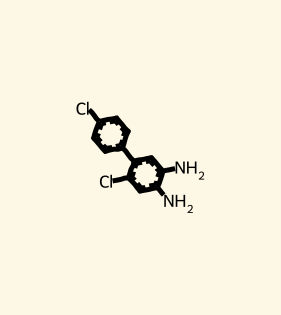 Nc1cc(Cl)c(-c2ccc(Cl)cc2)cc1N